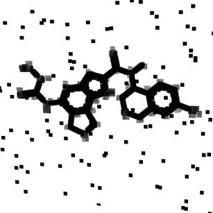 CN(C(=O)c1cc2nc(NC(=O)OC(C)(C)C)c3c(c2[nH]1)COC3)C1COCc2cc(C(F)(F)F)ccc21